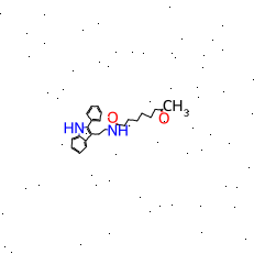 CC(=O)CCCCC[CH]C(=O)NCCc1c(-c2ccccc2)[nH]c2ccccc12